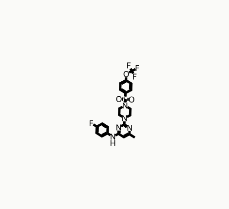 Cc1cc(Nc2ccc(F)cc2)nc(N2CCN(S(=O)(=O)c3ccc(OC(F)(F)F)cc3)CC2)n1